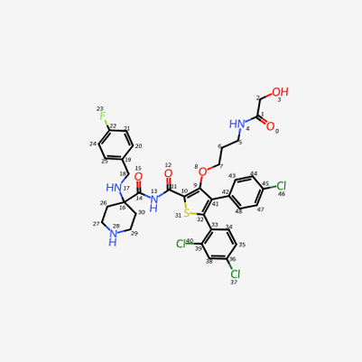 O=C(CO)NCCCOc1c(C(=O)NC(=O)C2(NCc3ccc(F)cc3)CCNCC2)sc(-c2ccc(Cl)cc2Cl)c1-c1ccc(Cl)cc1